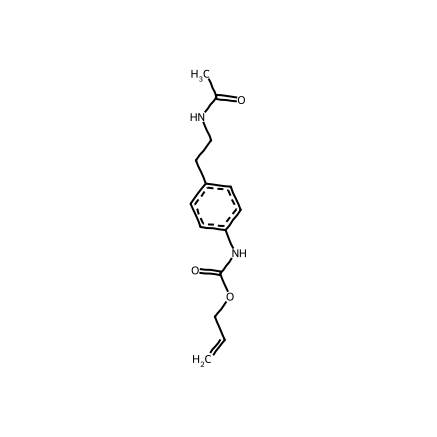 C=CCOC(=O)Nc1ccc(CCNC(C)=O)cc1